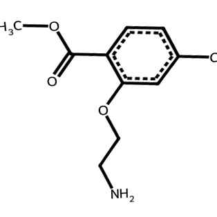 COC(=O)c1ccc(Cl)cc1OCCN